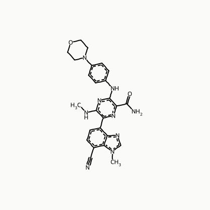 CNc1nc(Nc2ccc(N3CCOCC3)cc2)c(C(N)=O)nc1-c1ccc(C#N)c2c1ncn2C